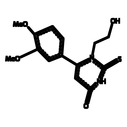 COc1ccc(-c2cc(=O)[nH]c(=S)n2CCO)cc1OC